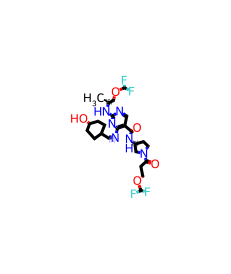 C[C@@H](COC(F)F)Nc1ncc(C(=O)N[C@H]2CCN(C(=O)CCOC(F)F)C2)c(/N=C\C2CCC(O)CC2)n1